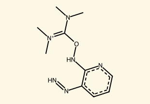 CN(C)C(ONc1ncccc1N=N)=[N+](C)C